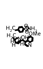 C=C[C@H]1CN2CC[C@H]1C[C@H]2[C@H](O)c1ccnc2ccc(OC)cc12.C=Cc1ccc(S(N)(=O)=O)cc1